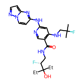 CCC(O)(CC)[C@H](F)CNC(=O)c1cnc(Nc2ccn3nccc3n2)cc1NCC(C)(C)F